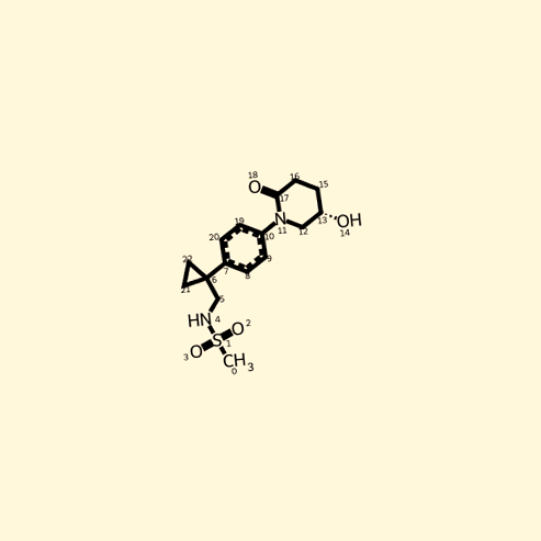 CS(=O)(=O)NCC1(c2ccc(N3C[C@@H](O)CCC3=O)cc2)CC1